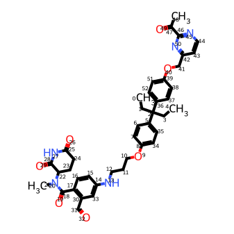 CCC(CC)(c1ccc(OCCCNc2ccc(C(=O)N(C)C3CCC(=O)NC3=O)c(C=O)c2)cc1)c1ccc(OCc2ccnc(C(C)=O)n2)cc1